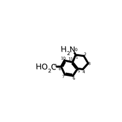 NC1CCCc2ccc(C(=O)O)cc21